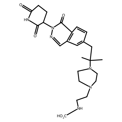 CC(C)(Cc1ccc2c(=O)n(C3CCC(=O)NC3=O)ncc2c1)N1CCN(CCNC(=O)O)CC1